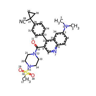 CN(C)c1ccc2ncc(C(=O)N3CCN(S(C)(=O)=O)CC3)c(-c3ccc(C4(C#N)CC4)cc3)c2c1